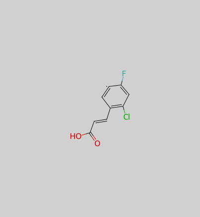 O=C(O)C=Cc1c[c]c(F)cc1Cl